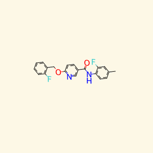 Cc1ccc(NC(=O)c2ccc(OCc3ccccc3F)nc2)c(F)c1